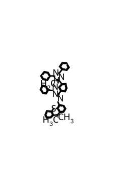 C=N/C(=N\C(=N/Cc1cccc2c1Sc1ccccc1C2(C)C)c1cccc(-c2nc(-c3ccccc3)nc(-c3ccccc3)n2)c1)c1ccccc1